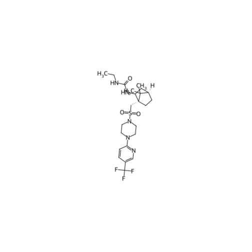 CCNC(=O)NC1C[C@H]2CC[C@]1(CS(=O)(=O)N1CCN(c3ccc(C(F)(F)F)cn3)CC1)C2(C)C